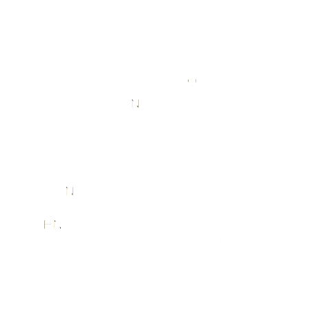 COc1cc2c(-c3cc(C4CC4)[nH]n3)[c]nc(OC(C)C)c2cc1OC